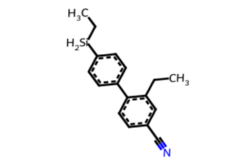 CC[SiH2]c1ccc(-c2ccc(C#N)cc2CC)cc1